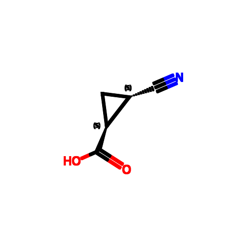 N#C[C@H]1C[C@@H]1C(=O)O